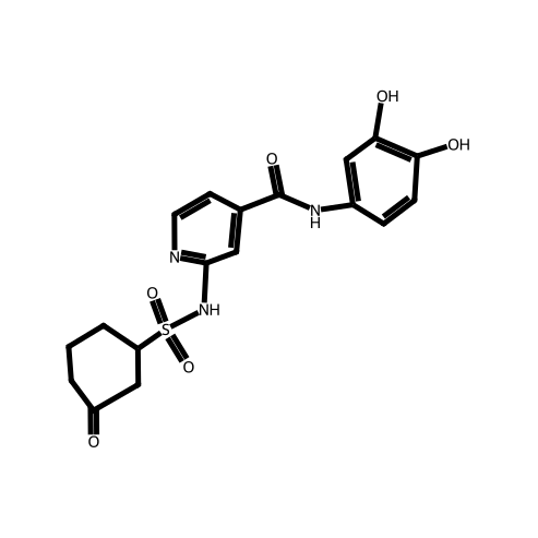 O=C1CCCC(S(=O)(=O)Nc2cc(C(=O)Nc3ccc(O)c(O)c3)ccn2)C1